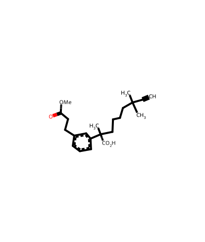 C#CC(C)(C)CCCCC(C)(C(=O)O)c1cccc(CCC(=O)OC)c1